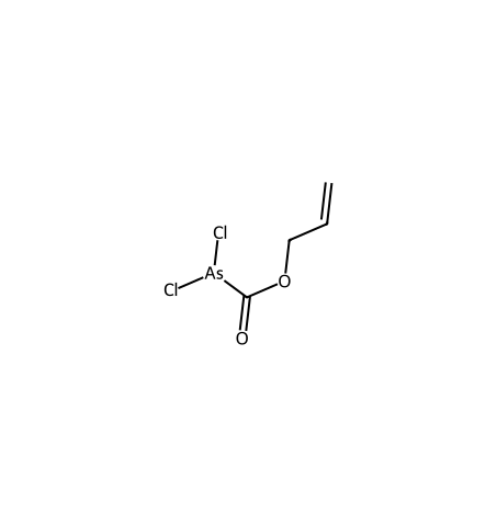 C=CCOC(=O)[As](Cl)Cl